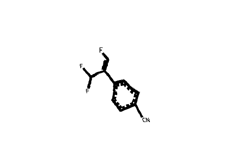 N#Cc1ccc(C(=CF)C(F)F)cc1